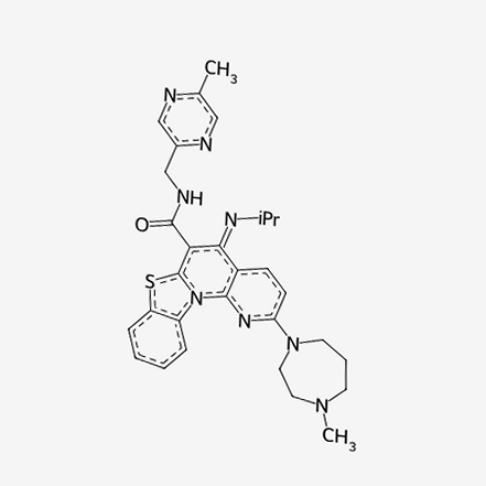 Cc1cnc(CNC(=O)c2/c(=N/C(C)C)c3ccc(N4CCCN(C)CC4)nc3n3c2sc2ccccc23)cn1